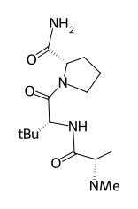 CN[C@@H](C)C(=O)N[C@@H](C(=O)N1CCC[C@H]1C(N)=O)C(C)(C)C